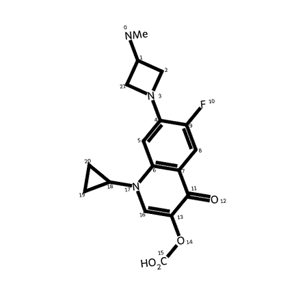 CNC1CN(c2cc3c(cc2F)c(=O)c(OC(=O)O)cn3C2CC2)C1